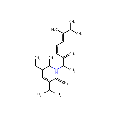 C=C/C(=C\C(CC)C(C)NC(C)C(=C)/C=C\C=C(/C)C(C)C)C(C)C